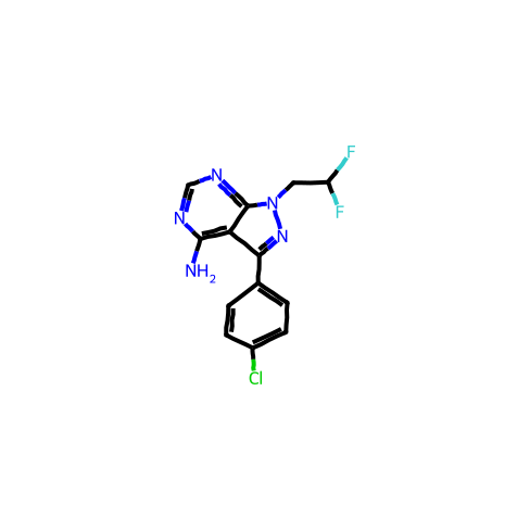 Nc1ncnc2c1c(-c1ccc(Cl)cc1)nn2CC(F)F